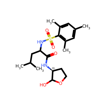 Cc1cc(C)c(S(=O)(=O)NC(CC(C)C)C(=O)N[C@H]2CCOC2O)c(C)c1